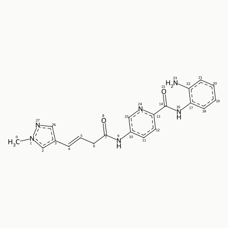 Cn1cc(/C=C/CC(=O)Nc2ccc(C(=O)Nc3ccccc3N)nc2)cn1